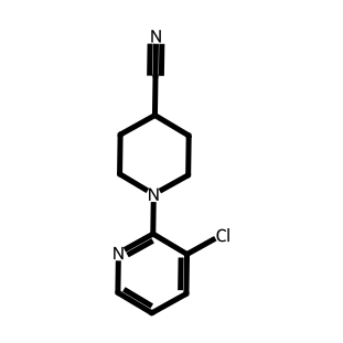 N#CC1CCN(c2ncccc2Cl)CC1